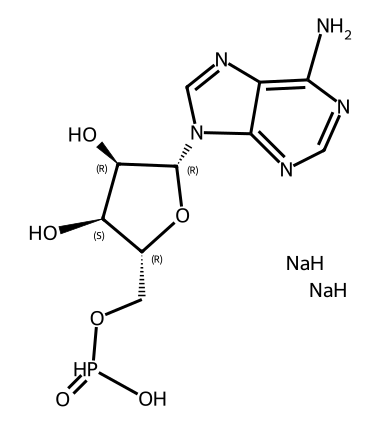 Nc1ncnc2c1ncn2[C@@H]1O[C@H](CO[PH](=O)O)[C@@H](O)[C@H]1O.[NaH].[NaH]